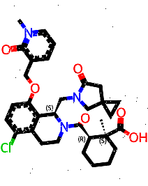 Cn1cccc(COc2ccc(Cl)c3c2[C@@H](CN2CC4(CC4)CC2=O)N(C(=O)[C@@H]2CCCC[C@]2(C)C(=O)O)CC3)c1=O